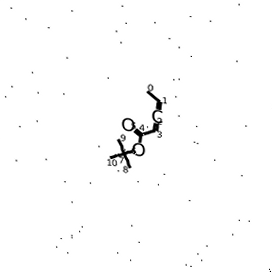 CC=C=CC(=O)OC(C)(C)C